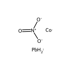 O=[N+]([O-])[O-].[Co].[PbH2]